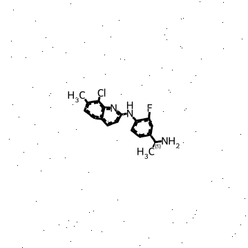 Cc1ccc2ccc(Nc3ccc([C@H](C)N)cc3F)nc2c1Cl